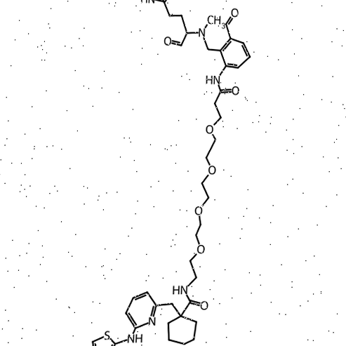 CNC(=O)CCC(C=O)N(C)Cc1c(C=O)cccc1NC(=O)CCOCCOCCOCCOCCNC(=O)C1(Cc2cccc(Nc3nccs3)n2)CCCCC1